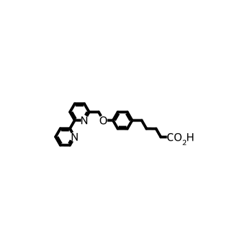 O=C(O)CCCCc1ccc(OCc2cccc(-c3ccccn3)n2)cc1